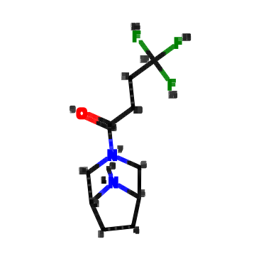 CN1C2CCC1CN(C(=O)CCC(F)(F)F)C2